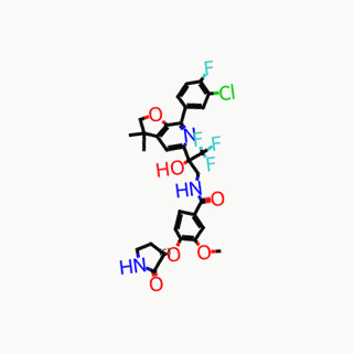 COc1cc(C(=O)NCC(O)(c2cc3c(c(-c4ccc(F)c(Cl)c4)n2)OCC3(C)C)C(F)(F)F)ccc1O[C@H]1CCNC1=O